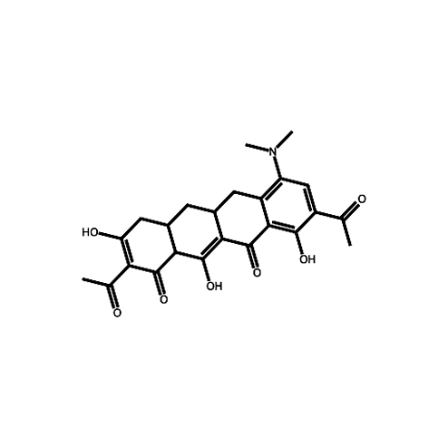 CC(=O)C1=C(O)CC2CC3Cc4c(N(C)C)cc(C(C)=O)c(O)c4C(=O)C3=C(O)C2C1=O